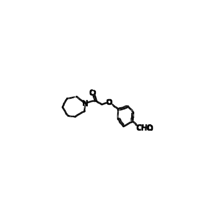 O=Cc1ccc(OCC(=O)N2CCCCCC2)cc1